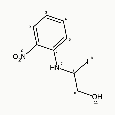 O=[N+]([O-])c1ccccc1NC(I)CO